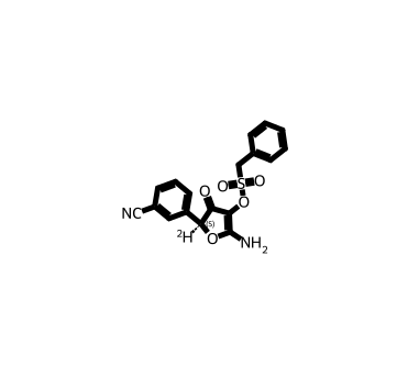 [2H][C@@]1(c2cccc(C#N)c2)OC(N)=C(OS(=O)(=O)Cc2ccccc2)C1=O